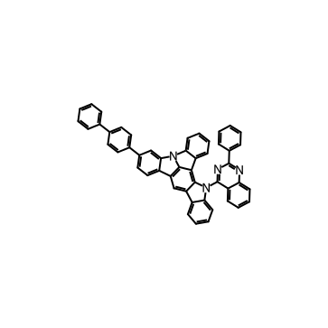 c1ccc(-c2ccc(-c3ccc4c5cc6c7ccccc7n(-c7nc(-c8ccccc8)nc8ccccc78)c6c6c7ccccc7n(c4c3)c56)cc2)cc1